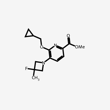 COC(=O)c1ccc(N2CC(C)(F)C2)c(OCC2CC2)n1